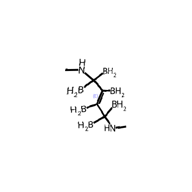 B/C(=C(/B)C(B)(B)NC)C(B)(B)NC